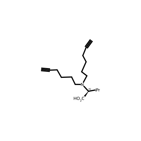 C#CCCCCN(CCCCC#C)[C@H](C(=O)O)C(C)C